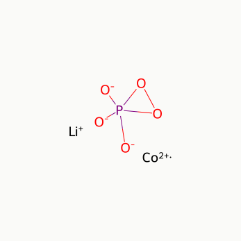 [Co+2].[Li+].[O-]P1([O-])([O-])OO1